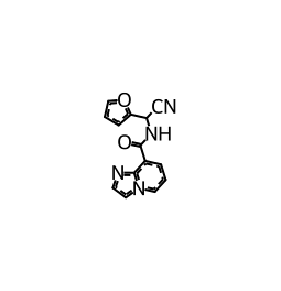 N#CC(NC(=O)c1cccn2ccnc12)c1ccco1